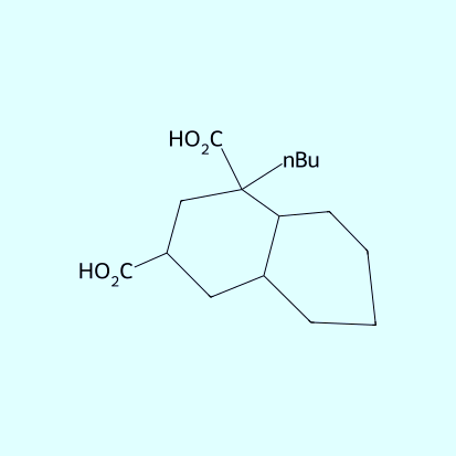 CCCCC1(C(=O)O)CC(C(=O)O)CC2CCCCC21